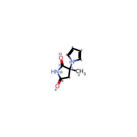 C[C@@]1(n2cccc2)CC(=O)NC1=O